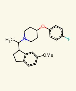 COc1ccc2c(c1)C(C(C)N1CCC(Oc3ccc(F)cc3)CC1)CC2